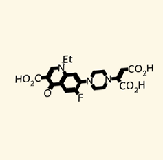 CCn1cc(C(=O)O)c(=O)c2cc(F)c(N3CCN(C(=CC(=O)O)C(=O)O)CC3)cc21